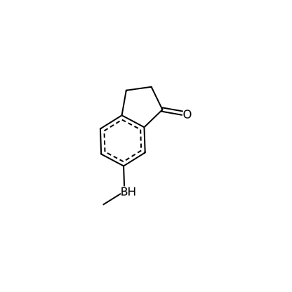 CBc1ccc2c(c1)C(=O)CC2